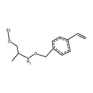 C=Cc1ccc(CO[SiH2]C(C)COCC)cc1